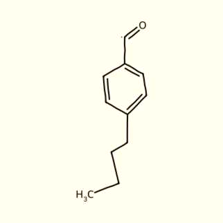 CCCCc1ccc([C]=O)cc1